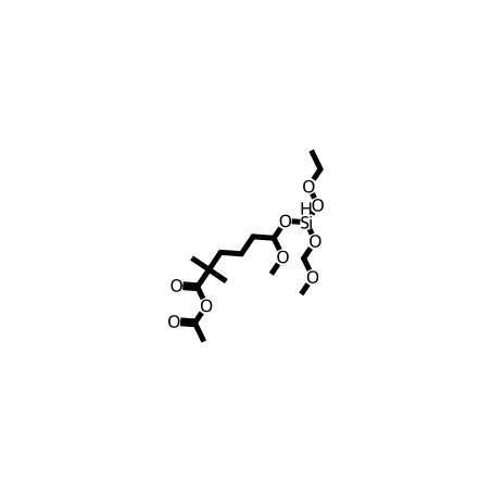 CCOO[SiH](OCOC)OC(CCCC(C)(C)C(=O)OC(C)=O)OC